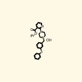 CC(C)OC(=O)c1cccnc1N1CCN(Cc2cccc(Sc3ccccc3)c2)CC1.Cl